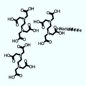 O=C(O)CN(CCN(CC(=O)O)CC(=O)O)CC(=O)O.O=C(O)CN(CCN(CC(=O)O)CC(=O)O)CC(=O)O.O=C(O)CN(CCN(CC(=O)O)CC(=O)O)CC(=O)O.[Fe].[Fe].[Fe].[Fe].[NaH].[NaH]